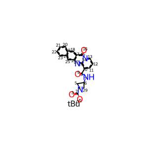 CC(C)(C)OC(=O)N1CC(NC(=O)c2cccn3c(=O)c4cc5ccccc5cc4nc23)C1